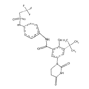 CC(C)(C)c1cc(N2CCC(=O)NC2=O)cc(C(=O)Nc2ccc(NS(=O)(=O)CC(F)(F)F)cc2)c1O